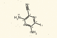 N#Cc1nc(I)c(N)nc1N